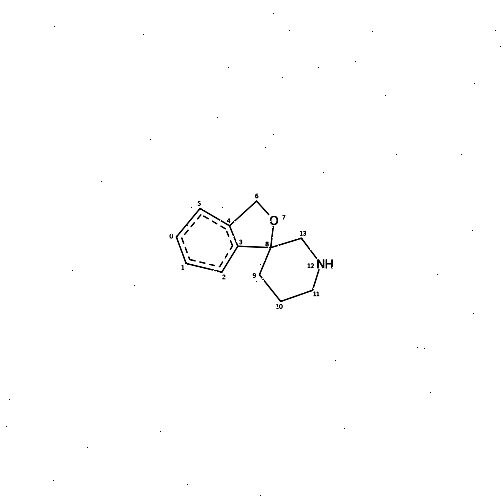 c1ccc2c(c1)COC21CCCNC1